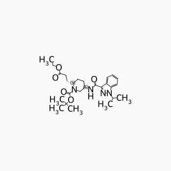 CCOC(=O)CC[C@@H]1CC[C@H](NC(=O)c2nn(C(C)C)c3ccccc23)CN1C(=O)OC(C)(C)C